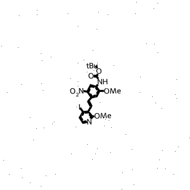 COc1cc(/C=C/c2c(I)ccnc2OC)c([N+](=O)[O-])cc1NC(=O)OC(C)(C)C